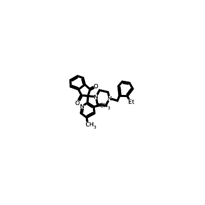 CCc1ccccc1CN1CCN(C2(c3ncc(C)cc3C)C(=O)c3ccccc3C2=O)CC1